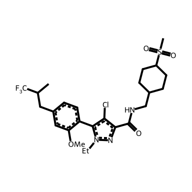 CCn1nc(C(=O)NCC2CCC(S(C)(=O)=O)CC2)c(Cl)c1-c1ccc(CC(C)C(F)(F)F)cc1OC